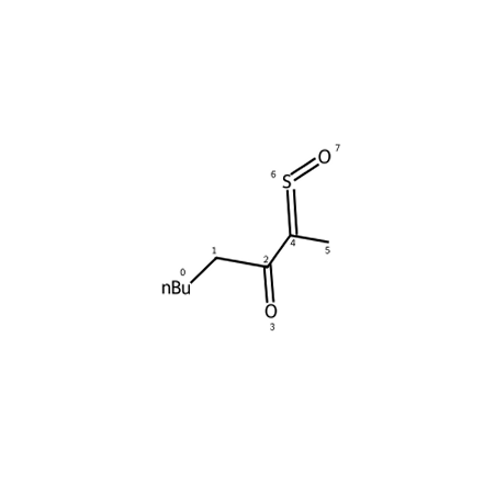 CCCCCC(=O)C(C)=S=O